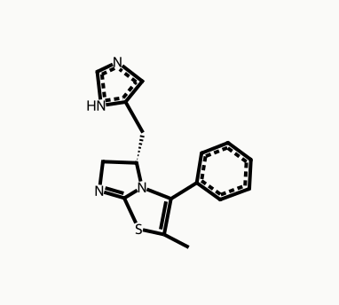 CC1=C(c2ccccc2)N2C(=NC[C@@H]2Cc2cnc[nH]2)S1